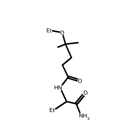 CCOC(C)(C)CCC(=O)NC(CC)C(N)=O